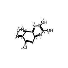 Oc1nc2cc(Cl)c3nonc3c2nc1O